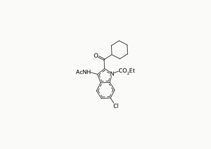 CCOC(=O)n1c(C(=O)C2CCCCC2)c(NC(C)=O)c2ccc(Cl)cc21